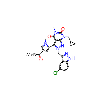 CNC(=O)c1cc(-c2c3c(=O)n(C)c(=O)n(CC4CC4)c3nn2Cc2n[nH]c3ccc(Cl)cc23)n(C)c1